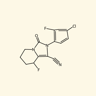 N#Cc1c2n(c(=O)n1-c1ccc(Cl)cc1F)CCCC2F